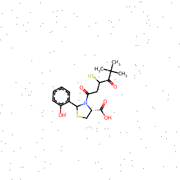 CC(C)(C)C(=O)C(S)CC(=O)N1C(c2ccccc2O)SC[C@H]1C(=O)O